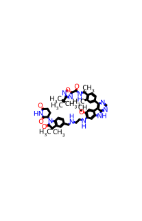 COc1cc2c(cc1NCCNCc1ccc3c(c1)C(C)(C)C(=O)N3C1CCC(=O)NC1=O)[nH]c1ncnc(-c3ccc([C@@H](C)NC(=O)c4nc(C(C)(C)C)no4)c(C)c3)c12